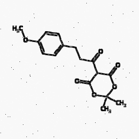 COc1ccc(CCC(=O)C2C(=O)OC(C)(C)OC2=O)cc1